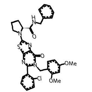 COc1ccc(Cn2c(-c3ccccc3Cl)nc3sc(N4CCC[C@@H]4C(=O)NCc4ccccc4)nc3c2=O)c(OC)c1